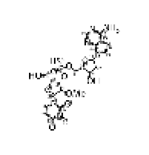 COC1[C@@H](OP(=O)(S)OC[C@H]2O[C@@H](n3cnc4c(N)ncnc43)C[C@H]2O)[C@@H](CO)O[C@H]1n1ccc(=O)n(C)c1=O